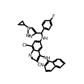 N#Cc1cnc2c(Cl)cc(NC(c3ccc(F)cc3)c3cn(C4CC4)nn3)cc2c1Nc1cccc2ccccc12